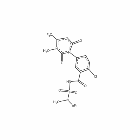 CCCN(C)S(=O)(=O)NC(=O)c1cc(-n2c(=O)cc(C(F)(F)F)n(C)c2=O)ccc1Cl